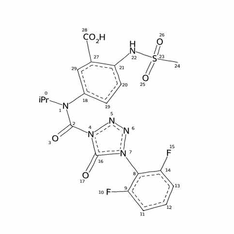 CC(C)N(C(=O)n1nnn(-c2c(F)cccc2F)c1=O)c1ccc(NS(C)(=O)=O)c(C(=O)O)c1